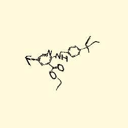 CCOC(=O)c1cc(F)cnc1NCc1ccc(C(C)(C)C)cc1